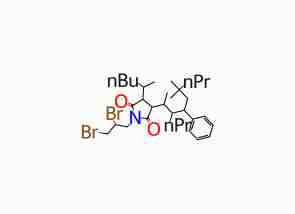 CCCCC(C)C1C(=O)N(CC(Br)CBr)C(=O)C1C(C)C(CCC)C(CC(C)(C)CCC)c1ccccc1